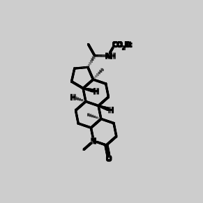 CCOC(=O)NC(C)[C@H]1CC[C@H]2[C@@H]3CCC4N(C)C(=O)CC[C@]4(C)[C@H]3CC[C@]12C